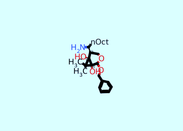 CCCCCCCCC(N)[C@H]1COC(OCc2ccccc2)[C@]2(O)C(C)(C)[C@@]12O